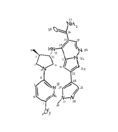 C[C@@H]1CN(c2ccc(C(F)(F)F)nn2)C[C@H]1Nc1c(C(N)=O)cnn2cc(-c3cnn(C)c3)cc12